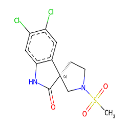 CS(=O)(=O)N1CC[C@]2(C1)C(=O)Nc1cc(Cl)c(Cl)cc12